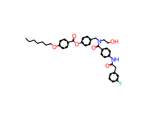 CCCCCCCOc1ccc(C(=O)Oc2ccc(CN(CCO)C(=O)c3ccc(NC(=O)Cc4cccc(F)c4)cc3)cc2)cc1